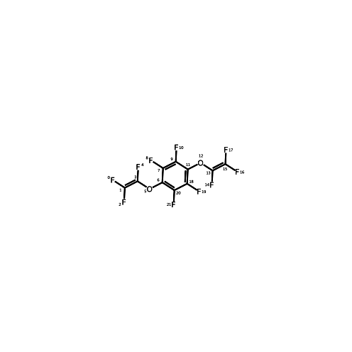 FC(F)=C(F)Oc1c(F)c(F)c(OC(F)=C(F)F)c(F)c1F